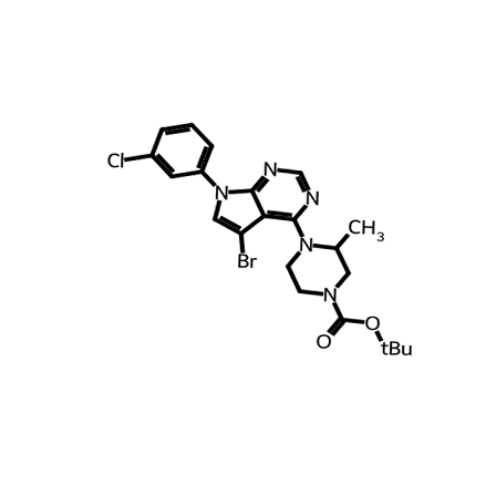 CC1CN(C(=O)OC(C)(C)C)CCN1c1ncnc2c1c(Br)cn2-c1cccc(Cl)c1